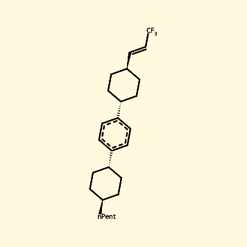 CCCCC[C@H]1CC[C@H](c2ccc([C@H]3CC[C@H](/C=C/C(F)(F)F)CC3)cc2)CC1